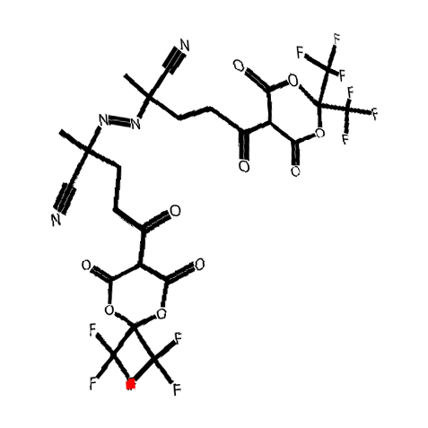 CC(C#N)(CCC(=O)C1C(=O)OC(C(F)(F)F)(C(F)(F)F)OC1=O)/N=N/C(C)(C#N)CCC(=O)C1C(=O)OC(C(F)(F)F)(C(F)(F)F)OC1=O